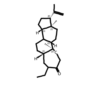 C=C(C)[C@H]1CC[C@H]2C3CC[C@H]4CC(CC)C(=O)CC[C@]4(C)[C@H]3CC[C@]12C